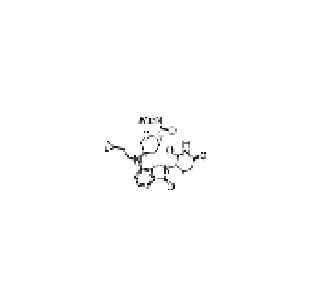 CNC(=O)[C@@H]1CC[C@@H](N(CCC2CC2)c2cccc3c2CN(C2CCC(=O)NC2=O)C3=O)CO1